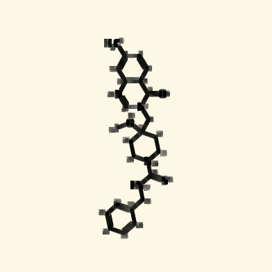 Cc1ccc2c(=O)n(CC3(OI)CCN(C(=S)NCc4ccccc4)CC3)cnc2c1